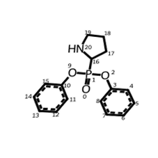 O=P(Oc1ccccc1)(Oc1ccccc1)C1CCCN1